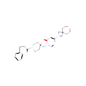 C[C@H](CC(=O)N1CCC(O)(Cn2cnc(N3CC4(CCOCC4)C3)cc2=O)CC1)c1ccccc1